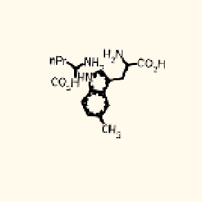 CCCC(N)C(=O)O.Cc1ccc2[nH]cc(CC(N)C(=O)O)c2c1